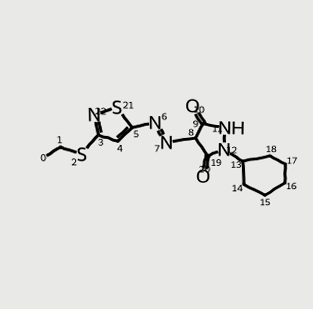 CCSc1cc(/N=N/C2C(=O)NN(C3CCCCC3)C2=O)sn1